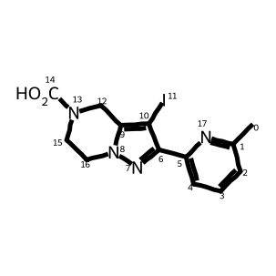 Cc1cccc(-c2nn3c(c2I)CN(C(=O)O)CC3)n1